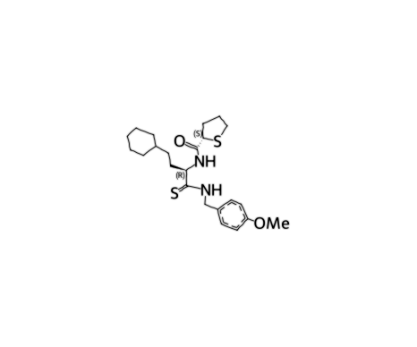 COc1ccc(CNC(=S)[C@@H](CCC2CCCCC2)NC(=O)[C@@H]2CCCS2)cc1